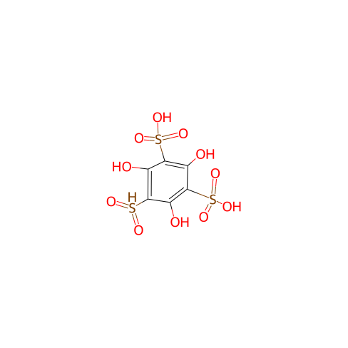 O=[SH](=O)c1c(O)c(S(=O)(=O)O)c(O)c(S(=O)(=O)O)c1O